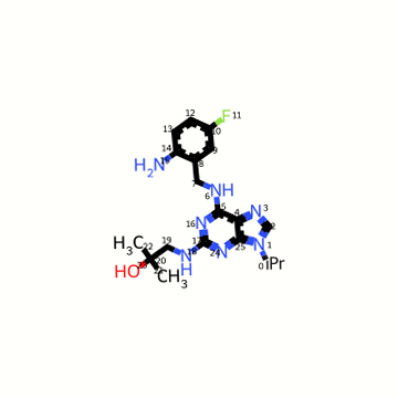 CC(C)n1cnc2c(NCc3cc(F)ccc3N)nc(NCC(C)(C)O)nc21